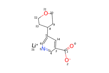 O=C([O-])c1cncc(C2CCOCC2)c1.[Li+]